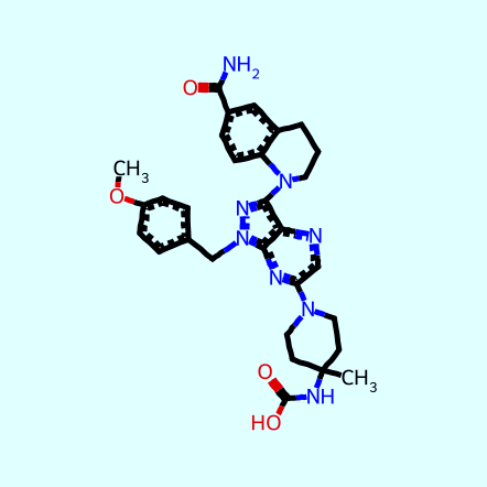 COc1ccc(Cn2nc(N3CCCc4cc(C(N)=O)ccc43)c3ncc(N4CCC(C)(NC(=O)O)CC4)nc32)cc1